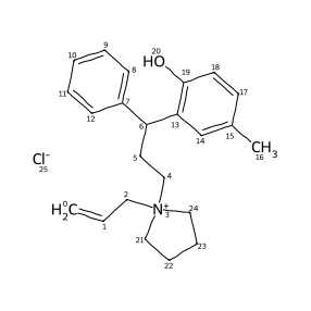 C=CC[N+]1(CCC(c2ccccc2)c2cc(C)ccc2O)CCCC1.[Cl-]